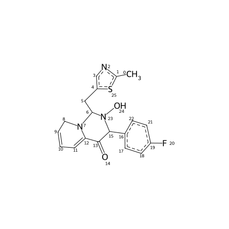 Cc1ncc(CC2N3CC=CC=C3C(=O)C(c3ccc(F)cc3)N2O)s1